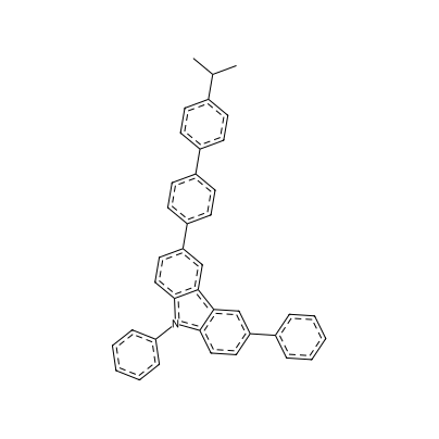 CC(C)c1ccc(-c2ccc(-c3ccc4c(c3)c3cc(-c5ccccc5)ccc3n4-c3ccccc3)cc2)cc1